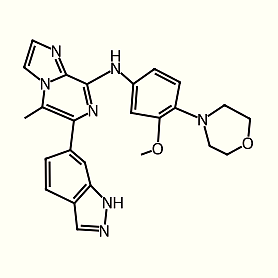 COc1cc(Nc2nc(-c3ccc4cn[nH]c4c3)c(C)n3ccnc23)ccc1N1CCOCC1